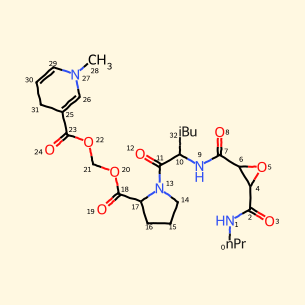 CCCNC(=O)C1OC1C(=O)NC(C(=O)N1CCCC1C(=O)OCOC(=O)C1=CN(C)C=CC1)C(C)CC